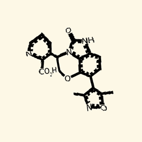 Cc1noc(C)c1-c1ccc2[nH]c(=O)n3c2c1OCC3c1cccnc1C(=O)O